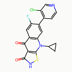 O=c1[nH]sc2c1c(=O)c1cc(F)c(-c3ccncc3Cl)cc1n2C1CC1